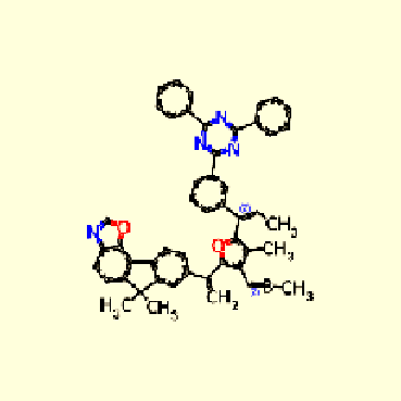 C=C(c1ccc2c(c1)C(C)(C)c1ccc3ncoc3c1-2)c1oc(/C(=C\C)c2cccc(-c3nc(-c4ccccc4)nc(-c4ccccc4)n3)c2)c(C)c1/C=B\C